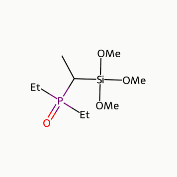 CCP(=O)(CC)C(C)[Si](OC)(OC)OC